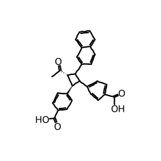 CC(=O)[C@@H]1C(c2ccc3ccccc3c2)C(c2ccc(C(=O)O)cc2)[C@H]1c1ccc(C(=O)O)cc1